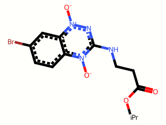 CC(C)OC(=O)CCNc1n[n+]([O-])c2cc(Br)ccc2[n+]1[O-]